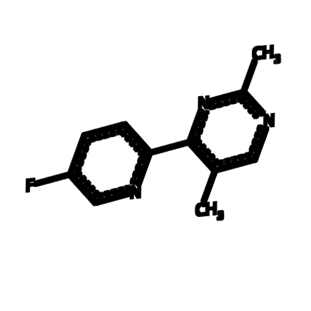 Cc1ncc(C)c(-c2ccc(F)cn2)n1